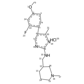 COc1ccc(-c2cnc(NCC3CCCN(C)C3)nc2C)c(F)c1.Cl